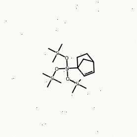 C[Si](C)(C)O[Si](O[Si](C)(C)C)(O[Si](C)(C)C)C12C=CC(CC1)C2